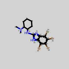 CN(C)C1CCCCC1Nc1nc2c(Br)c(Br)c(Br)c(Br)c2[nH]1